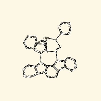 c1ccc(-n2c3ccccc3c3ccc4c5ccccc5n(C5=NC(c6ccccn6)NC(c6ccccn6)=N5)c4c32)cc1